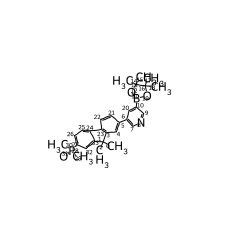 CC1(C)c2cc(-c3cncc(B4OC(C)(C)C(C)(C)O4)c3)ccc2-c2ccc(P(C)(C)=O)cc21